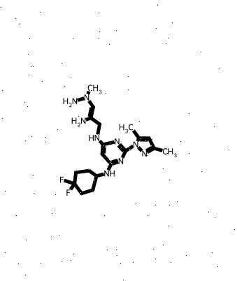 Cc1cc(C)n(-c2nc(NC/C(N)=C/N(C)N)cc(NC3CCC(F)(F)CC3)n2)n1